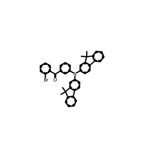 CC1(C)c2ccccc2-c2ccc(N(c3cccc(C(=O)c4ccccc4Br)c3)c3ccc4c(c3)C(C)(C)c3ccccc3-4)cc21